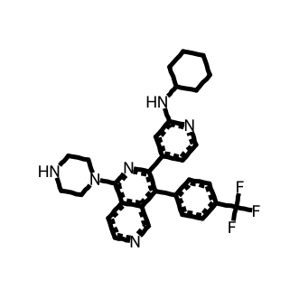 FC(F)(F)c1ccc(-c2c(-c3ccnc(NC4CCCCC4)c3)nc(N3CCNCC3)c3ccncc23)cc1